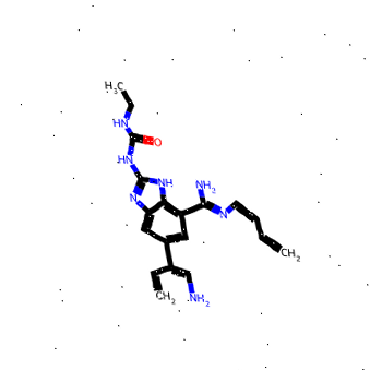 C=C/C=C\N=C(/N)c1cc(/C(C=C)=C/N)cc2nc(NC(=O)NCC)[nH]c12